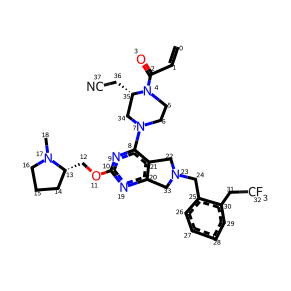 C=CC(=O)N1CCN(c2nc(OC[C@@H]3CCCN3C)nc3c2CN(Cc2ccccc2CC(F)(F)F)C3)C[C@@H]1CC#N